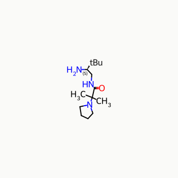 CC(C)(C)[C@H](N)CNC(=O)C(C)(C)N1CCCC1